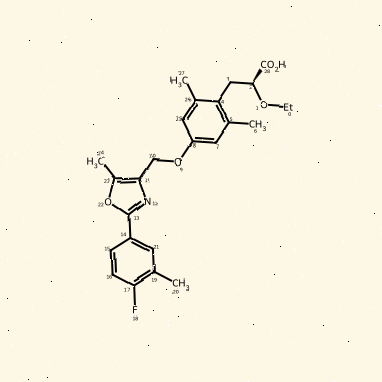 CCO[C@@H](Cc1c(C)cc(OCc2nc(-c3ccc(F)c(C)c3)oc2C)cc1C)C(=O)O